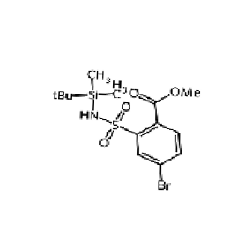 COC(=O)c1ccc(Br)cc1S(=O)(=O)N[Si](C)(C)C(C)(C)C